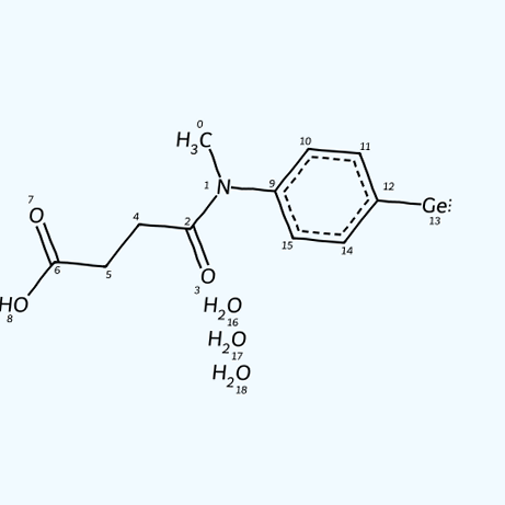 CN(C(=O)CCC(=O)O)c1cc[c]([Ge])cc1.O.O.O